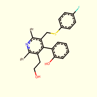 CC(C)c1nc(C(C)C)c(CSc2ccc(F)cc2)c(-c2ccccc2O)c1CCO